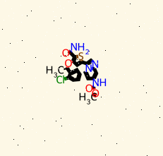 COC(=O)Nc1ccn2c(-c3cc(O[C@H](C)c4ccccc4Cl)c(C(N)=O)s3)cnc2c1